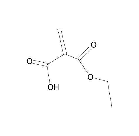 C=C(C(=O)O)C(=O)OCC